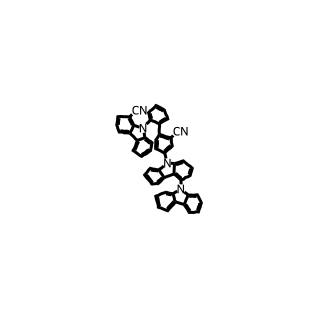 N#Cc1cc(-n2c3ccccc3c3c(-n4c5ccccc5c5ccccc54)cccc32)ccc1-c1ccccc1-n1c2ccccc2c2cccc(C#N)c21